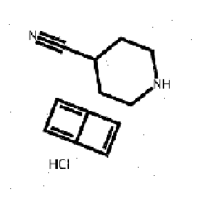 Cl.N#CC1CCNCC1.c1cc2ccc1-2